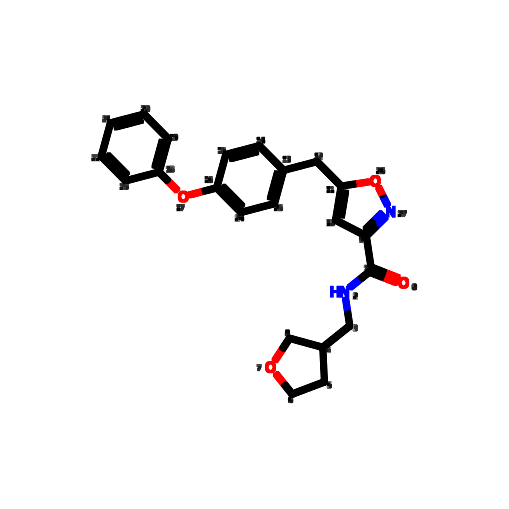 O=C(NCC1CCOC1)c1cc(Cc2ccc(Oc3ccccc3)cc2)on1